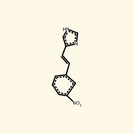 O=[N+]([O-])c1cccc(/C=C/c2c[nH]cn2)c1